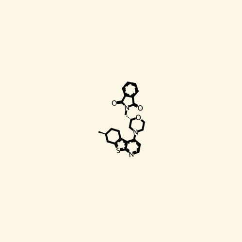 C[C@H]1CCc2c(sc3nccc(N4CCO[C@@H](CN5C(=O)c6ccccc6C5=O)C4)c23)C1